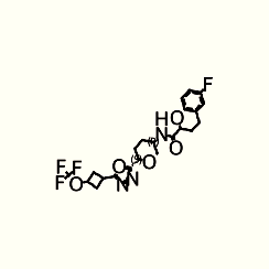 O=C(N[C@@H]1CC[C@@H](c2nnc(C3CC(OC(F)(F)F)C3)o2)OC1)C1CCc2cc(F)ccc2O1